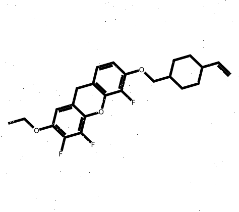 C=CC1CCC(COc2ccc3c(c2F)Oc2c(cc(OCC)c(F)c2F)C3)CC1